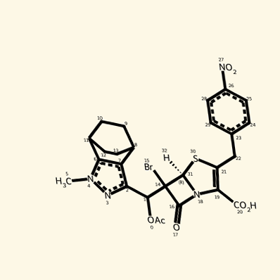 CC(=O)OC(c1nn(C)c2c1C1CCC2CC1)C1(Br)C(=O)N2C(C(=O)O)=C(Cc3ccc([N+](=O)[O-])cc3)S[C@@H]21